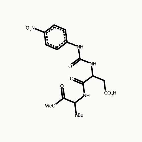 CCCCC(NC(=O)C(CC(=O)O)NC(=O)Nc1ccc([N+](=O)[O-])cc1)C(=O)OC